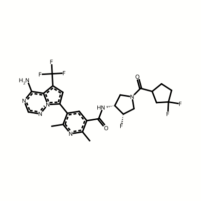 Cc1nc(C)c(-c2cc(C(F)(F)F)c3c(N)ncnn23)cc1C(=O)N[C@@H]1CN(C(=O)C2CCC(F)(F)C2)C[C@@H]1F